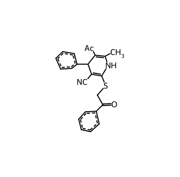 CC(=O)C1=C(C)NC(SCC(=O)c2ccccc2)=C(C#N)C1c1ccccc1